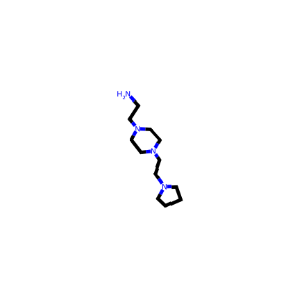 NCCN1CCN(CCN2CCCC2)CC1